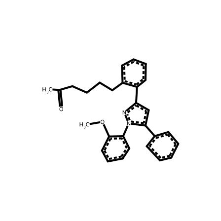 COc1ccccc1-n1nc(-c2ccccc2CCCCC(C)=O)cc1-c1ccccc1